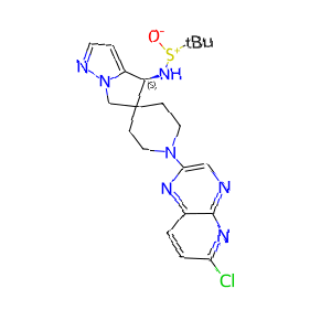 CC(C)(C)[S+]([O-])N[C@@H]1c2ccnn2CC12CCN(c1cnc3nc(Cl)ccc3n1)CC2